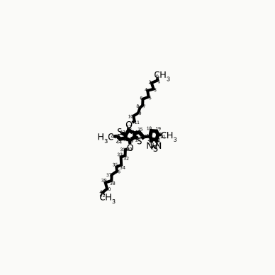 CCCCCCCCCCCCOc1c2cc(-c3ccc(C)c4nsnc34)sc2c(OCCCCCCCCCCCC)c2cc(C)sc12